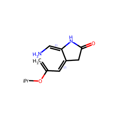 C=C(/C=C1/CC(=O)N/C1=C/N)OC(C)C